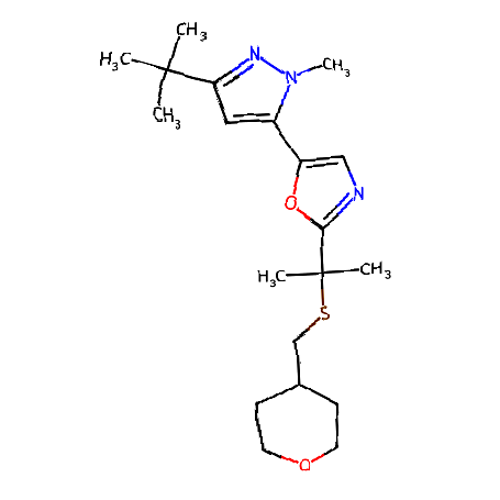 Cn1nc(C(C)(C)C)cc1-c1cnc(C(C)(C)SCC2CCOCC2)o1